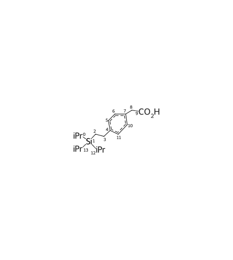 CC(C)[Si](CCc1ccc(CC(=O)O)cc1)(C(C)C)C(C)C